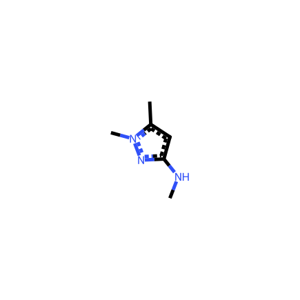 CNc1cc(C)n(C)n1